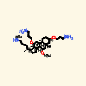 CCCCNCCC[C@@H](C)[C@H]1CC[C@H]2[C@@H]3[C@H](OCCCC)C[C@@H]4C[C@H](OCCCN)CC[C@]4(C)[C@H]3C[C@H](OCCCN)[C@]12C